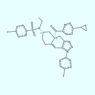 CCN([C@H]1CCC2=Cc3c(cnn3-c3ccc(F)cc3)C[C@]2(C(=O)c2ccc(C3CC3)cn2)C1)S(=O)(=O)c1ccc(F)cc1